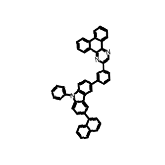 c1ccc(-n2c3ccc(-c4cccc(-c5cnc6c7ccccc7c7ccccc7c6n5)c4)cc3c3cc(-c4cccc5ccccc45)ccc32)cc1